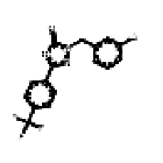 O=c1oc(-c2ccc(C(F)(F)F)cc2)nn1Cc1[c]ccc(Cl)c1